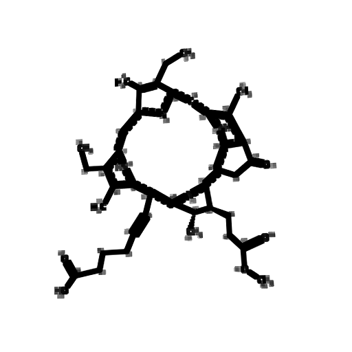 CCC1=C(C)c2cc3[nH]c(c(C)c3CC)c(C#CCCCC(=O)O)c3nc(c4c5[nH]c(cc1n2)c(C)c5C(=O)C4)[C@@H](CCC(=O)OC)[C@@H]3C